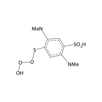 CNc1cc(S(=O)(=O)O)c(NC)cc1SOOO